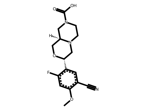 COc1cc(F)c([C@H]2CN3CCN(C(=O)O)C[C@@H]3CO2)cc1C#N